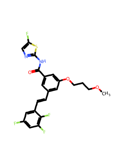 COCCCOc1cc(/C=C/c2cc(F)cc(F)c2F)cc(C(=O)Nc2ncc(F)s2)c1